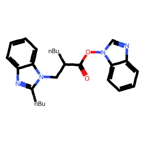 CCCCc1nc2ccccc2n1CC(CCCC)C(=O)On1cnc2ccccc21